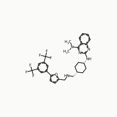 CN(C)c1nc(N[C@H]2CC[C@@H](CNCc3ccc(-c4cc(C(F)(F)F)cc(C(F)(F)F)c4)o3)CC2)nc2ccccc12